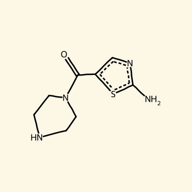 Nc1ncc(C(=O)N2CCNCC2)s1